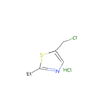 CCc1ncc(CCl)s1.Cl